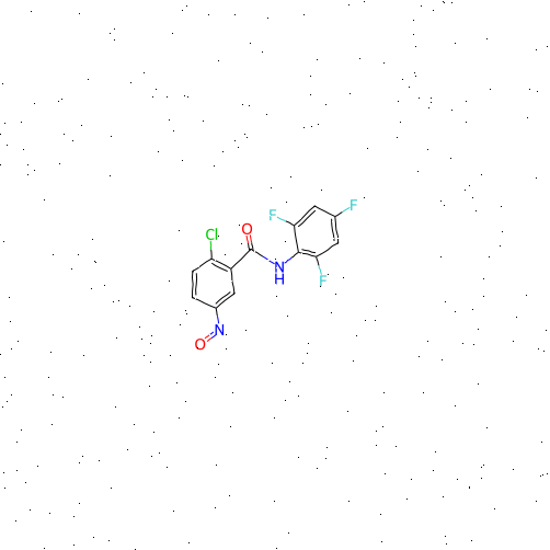 O=Nc1ccc(Cl)c(C(=O)Nc2c(F)cc(F)cc2F)c1